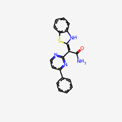 NC(=O)/C(=C1\Nc2ccccc2S1)c1nccc(-c2ccccc2)n1